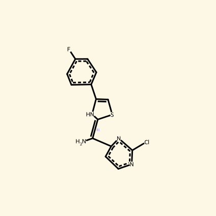 N/C(=C1\NC(c2ccc(F)cc2)=CS1)c1ccnc(Cl)n1